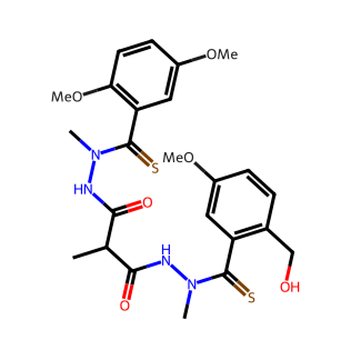 COc1ccc(CO)c(C(=S)N(C)NC(=O)C(C)C(=O)NN(C)C(=S)c2cc(OC)ccc2OC)c1